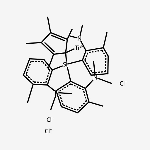 CC1=C(C)[C]([Ti+3])([Si](c2cccc(C)c2N(C)C)(c2cccc(C)c2N(C)C)c2cccc(C)c2N(C)C)C(C)=C1C.[Cl-].[Cl-].[Cl-]